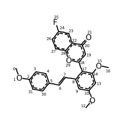 COc1ccc(/C=C/c2cc(OC)cc(OC)c2-c2cc(=O)c3cc(F)ccc3o2)cc1